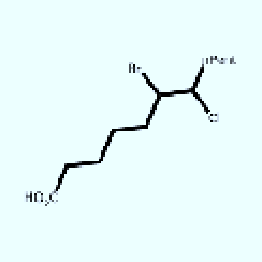 CCCCCC(Cl)C(Br)CCCCC(=O)O